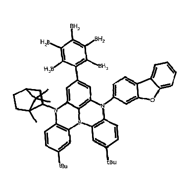 Bc1c(B)c(B)c(-c2cc3c4c(c2)N(C2CC5CCC2(C)C5(C)C)c2ccc(C(C)(C)C)cc2B4c2cc(C(C)(C)C)ccc2N3c2ccc3c(c2)oc2ccccc23)c(B)c1B